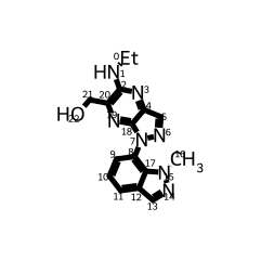 CCNc1nc2cnn(-c3cccc4cnn(C)c34)c2nc1CO